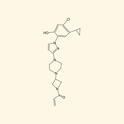 C=CC(=O)N1CC(N2CCN(c3ccn(-c4cc(C5CC5)c(Cl)cc4O)n3)CC2)C1